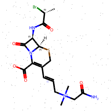 C[C@@H](Br)C(=O)N[C@@H]1C(=O)N2C(C(=O)[O-])=C(/C=C/C[N+](C)(C)CC(N)=O)CS[C@H]12